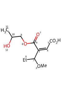 CCC(OC)C(=CC(=O)O)C(=O)OCC(C)O